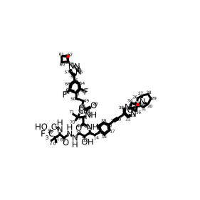 CC(C)(C(NC(=O)O)C(=O)NNCC(O)C(Cc1ccc(C#Cc2cnc(N3CC4CCC(C3)N4C3COC3)nc2)cc1)NC(=O)C(NC(=O)OCCc1c(F)cc(-c2cn(C34CC(C3)C4)nn2)cc1F)C(C)(C)C(F)(F)F)C(F)(F)F